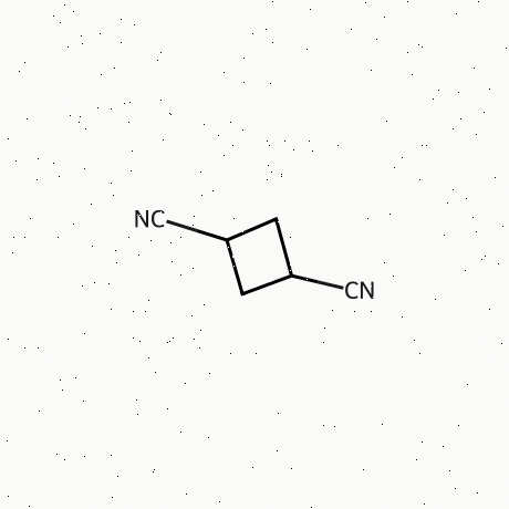 N#CC1CC(C#N)C1